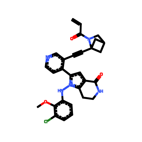 C=CC(=O)N1CC2CC1(C#Cc1cnccc1-c1cc3c(n1Nc1cccc(Cl)c1OC)CCNC3=O)C2